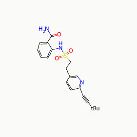 CC(C)(C)C#Cc1ccc(CCS(=O)(=O)Nc2ccccc2C(N)=O)cn1